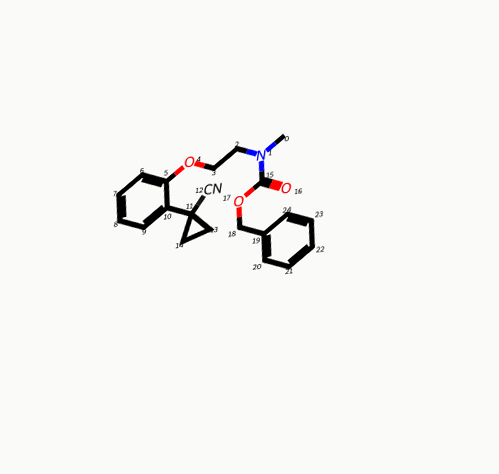 CN(CCOc1ccccc1C1(C#N)CC1)C(=O)OCc1ccccc1